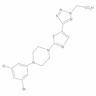 O=C(O)Cn1nnc(-c2cnc(N3CCN(c4cc(Cl)cc(Br)c4)CC3)s2)n1